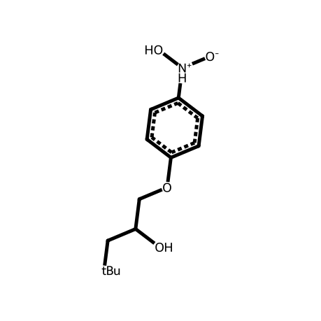 CC(C)(C)CC(O)COc1ccc([NH+]([O-])O)cc1